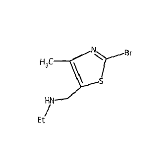 CCNCc1sc(Br)nc1C